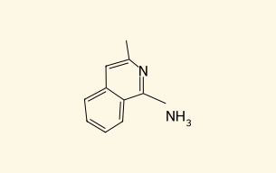 Cc1cc2ccccc2c(C)n1.N